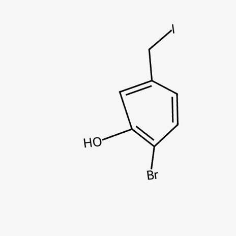 Oc1cc(CI)ccc1Br